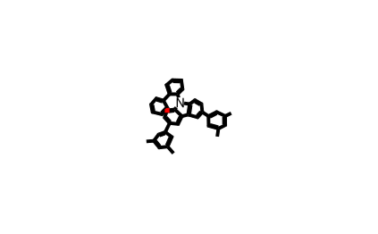 Cc1cc(C)cc(-c2ccc3c(c2)c2cc(-c4cc(C)cc(C)c4)ccc2n3-c2ccccc2-c2ccccc2)c1